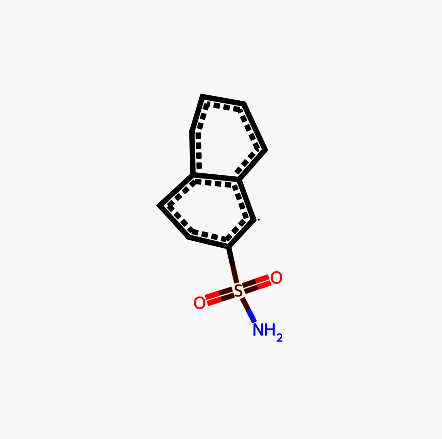 NS(=O)(=O)c1[c]c2ccccc2cc1